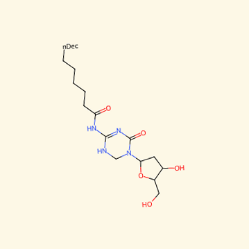 CCCCCCCCCCCCCCCC(=O)NC1=NC(=O)N(C2CC(O)C(CO)O2)CN1